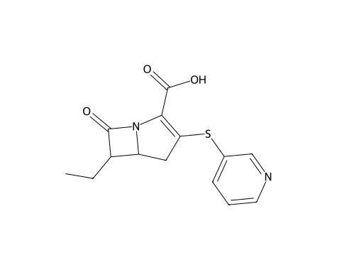 CCC1C(=O)N2C(C(=O)O)=C(Sc3cccnc3)CC12